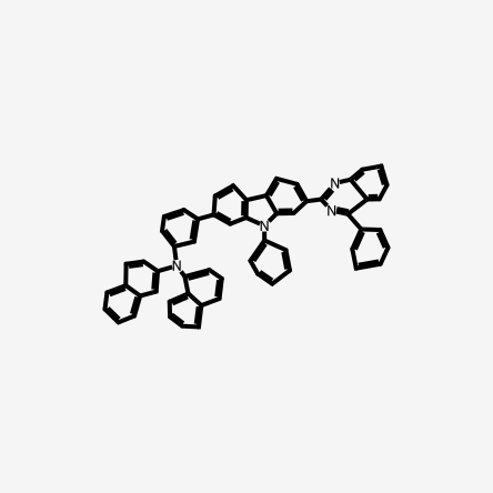 c1ccc(-c2nc(-c3ccc4c5ccc(-c6cccc(N(c7ccc8ccccc8c7)c7cccc8ccccc78)c6)cc5n(-c5ccccc5)c4c3)nc3ccccc23)cc1